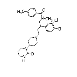 Cc1ccc(C(=O)N(C)CC(CCN2CCC(N3CCCNC3=O)CC2)c2ccc(Cl)c(Cl)c2)cc1